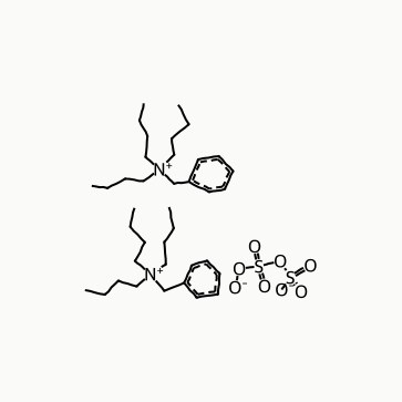 CCCC[N+](CCCC)(CCCC)Cc1ccccc1.CCCC[N+](CCCC)(CCCC)Cc1ccccc1.O=S(=O)([O-])OS(=O)(=O)O[O-]